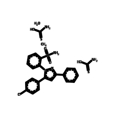 C.NC(O)=S.NC(O)=S.NS(=O)(=O)c1ccccc1-n1nc(-c2ccccc2)cc1-c1ccc(Cl)cc1.O